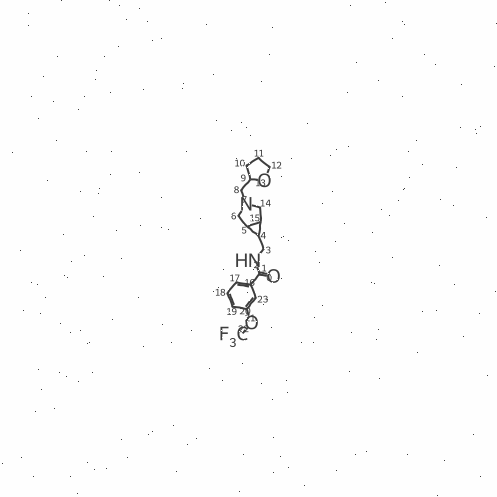 O=C(NCC1C2CN(CC3CCCO3)CC12)c1cccc(OC(F)(F)F)c1